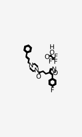 O=C(CCc1cnoc1-c1ccc(F)cc1)N1CCN(CC=Cc2ccccc2)CC1.O=C(O)C(F)(F)F